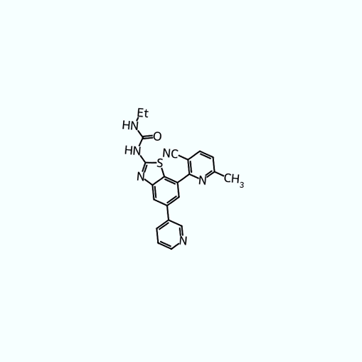 CCNC(=O)Nc1nc2cc(-c3cccnc3)cc(-c3nc(C)ccc3C#N)c2s1